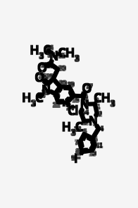 C[C@@H]1CN(Cc2ccc(F)cc2)[C@@H](C)CN1C(=O)c1cc2c(cc1Cl)N(C)C(=O)C2CC(=O)N(C)C